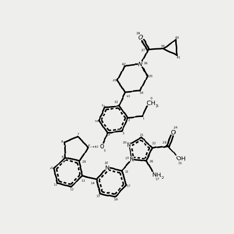 CCc1cc(O[C@H]2CCc3cccc(-c4cccc(-n5ncc(C(=O)O)c5N)n4)c32)ccc1C1CCN(C(=O)C2CC2)CC1